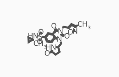 Cc1cc(Cn2c(=O)c3cc(S(=O)(=O)NC4(C)CC4)ccc3n(CC3CCC(=O)N3)c2=O)on1